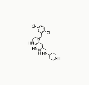 Clc1ccc(Cl)c(CN2CCNC3=C2C=C(CNC2CCNCC2)NN3)c1